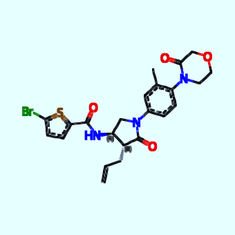 C=CC[C@H]1C(=O)N(c2ccc(N3CCOCC3=O)c(C)c2)C[C@@H]1NC(=O)c1ccc(Br)s1